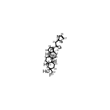 C[C@]12CC[C@H]3[C@@H](CC[C@H]4C[C@@](O)(CF)CC[C@@H]43)[C@@H]1CC[C@@H]2C(=O)Cc1nccs1